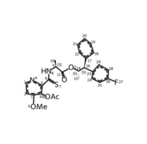 COc1ccnc(C(=S)N[C@@H](C)C(=O)O[C@@H](C)[C@@H](c2ccccc2)c2ccc(F)cc2)c1OC(C)=O